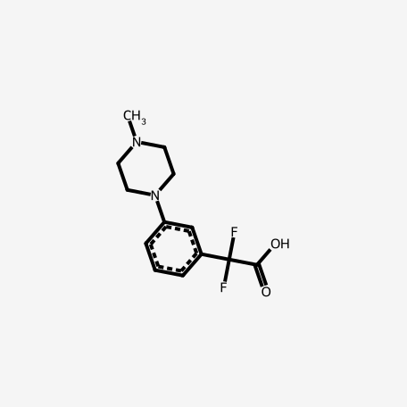 CN1CCN(c2cccc(C(F)(F)C(=O)O)c2)CC1